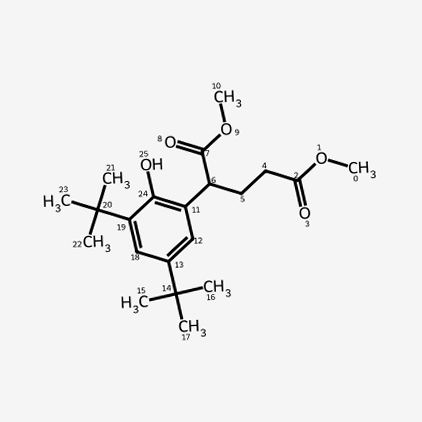 COC(=O)CCC(C(=O)OC)c1cc(C(C)(C)C)cc(C(C)(C)C)c1O